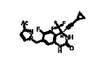 CC(=O)c1ccn(Cc2cc3c(cc2F)[C@@](C#CC2CC2)(C(C)(F)F)NC(=O)N3)n1